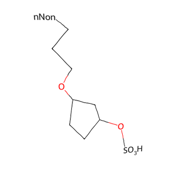 CCCCCCCCCCCCOC1CCC(OS(=O)(=O)O)C1